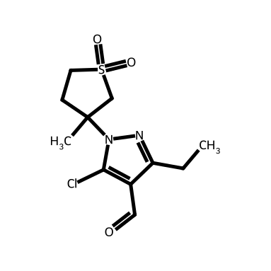 CCc1nn(C2(C)CCS(=O)(=O)C2)c(Cl)c1C=O